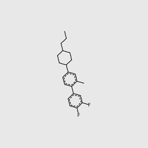 CCCC1CCC(c2ccc(-c3ccc(F)c(F)c3)c(C)c2)CC1